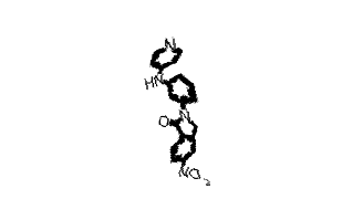 O=C1c2ccc([N+](=O)[O-])cc2CN1c1cccc(Nc2ccncc2)c1